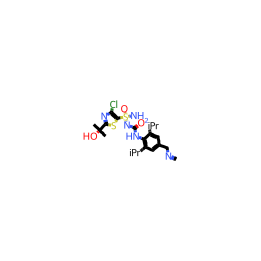 C=NCc1cc(C(C)C)c(NC(=O)N=S(N)(=O)c2sc(C(C)(C)O)nc2Cl)c(C(C)C)c1